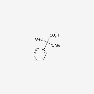 COC(OC)(C(=O)O)c1ccccc1